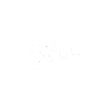 COCCn1c(=O)c2c(-n3cc(C(=O)OC)nn3)ncn2c2ccccc21